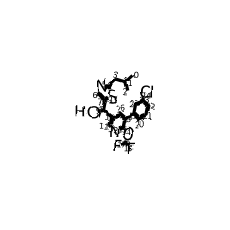 C[C](C)Cc1ncc(C(O)c2cnc(OC(F)F)c(-c3cccc(Cl)c3)c2)s1